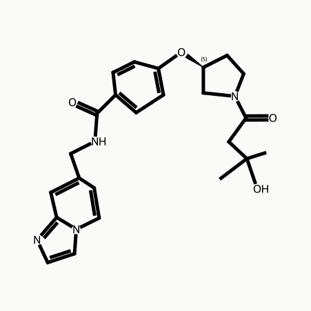 CC(C)(O)CC(=O)N1CC[C@H](Oc2ccc(C(=O)NCc3ccn4ccnc4c3)cc2)C1